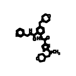 CN(CC1CCOCC1)c1nc(C(=O)Nc2ccc(CN3CCOCC3)cc2C(=O)NCc2cccnc2)cs1